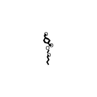 CCCCOCCOC(=O)c1ccc(C=O)cc1